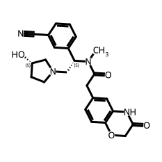 CN(C(=O)Cc1ccc2c(c1)NC(=O)CO2)[C@H](CN1CC[C@H](O)C1)c1cccc(C#N)c1